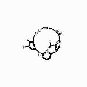 O=C1NCCCCOCc2cc(cc(F)c2F)Nc2nccc(n2)-c2ccc1cc2[N+](=O)[O-]